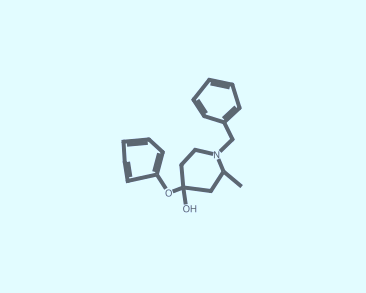 CC1CC(O)(Oc2ccccc2)CCN1Cc1ccccc1